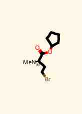 CN[C@H](CCBr)C(=O)OC1CCCC1